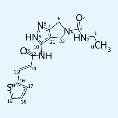 CCNC(=O)N1Cc2n[nH]c(NC(=O)/C=C/c3cccs3)c2C1